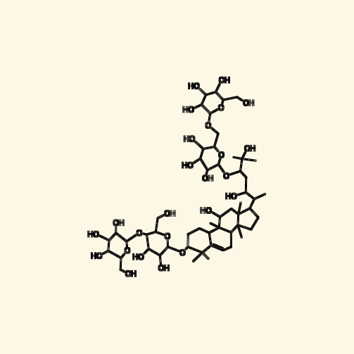 CC(C(O)CC(OC1OC(COC2OC(CO)C(O)C(O)C2O)C(O)C(O)C1O)C(C)(C)O)C1CCC2(C)C3CC=C4C(CCC(OC5OC(CO)C(OC6OC(CO)C(O)C(O)C6O)C(O)C5O)C4(C)C)C3(C)C(O)CC12C